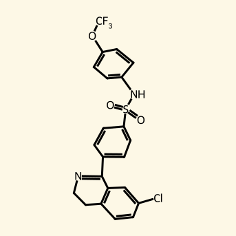 O=S(=O)(Nc1ccc(OC(F)(F)F)cc1)c1ccc(C2=NCCc3ccc(Cl)cc32)cc1